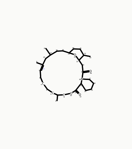 C/C1=C/CCCCC(C)COC(=O)C2CCCCN2C(=O)CC2OC(CCC(C)C1)CCC2C